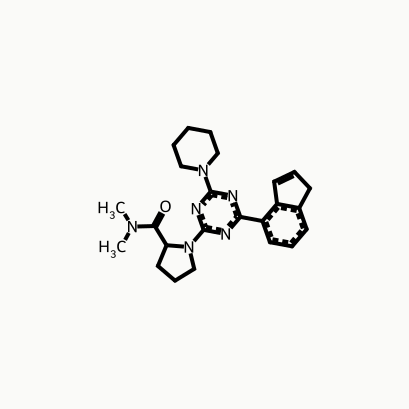 CN(C)C(=O)C1CCCN1c1nc(-c2cccc3c2C=CC3)nc(N2CCCCC2)n1